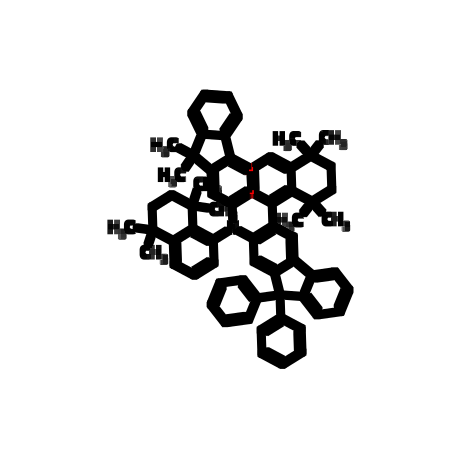 CC1(C)CCC(C)(C)c2c(-c3cc4c(cc3N(c3ccc5c(c3)C(C)(C)c3ccccc3-5)c3cccc5c3C(C)(C)CCC5(C)C)C(c3ccccc3)(c3ccccc3)c3ccccc3-4)cccc21